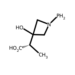 C[C@H](C(=O)O)C1(O)CN(P)C1